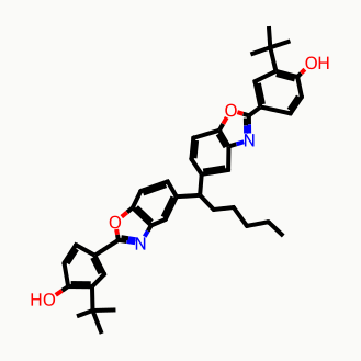 CCCCCC(c1ccc2oc(-c3ccc(O)c(C(C)(C)C)c3)nc2c1)c1ccc2oc(-c3ccc(O)c(C(C)(C)C)c3)nc2c1